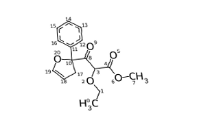 CCOC(C(=O)OC)C(=O)C1(c2ccccc2)CC=CO1